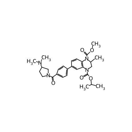 COC(=O)N1c2ccc(-c3ccc(C(=O)N4CCC(N(C)C)C4)cc3)cc2N(C(=O)OC(C)C)CC1C